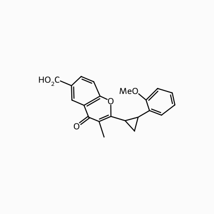 COc1ccccc1C1CC1c1oc2ccc(C(=O)O)cc2c(=O)c1C